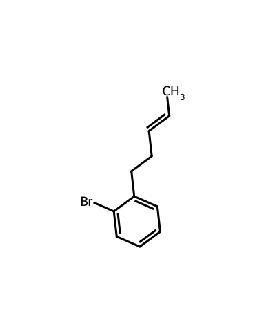 C/C=C/CCc1ccccc1Br